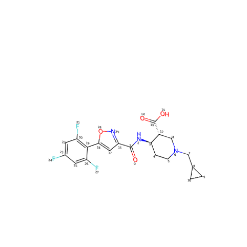 O=C(N[C@@H]1CCN(CC2CC2)C[C@H]1C(=O)O)c1cc(-c2c(F)cc(F)cc2F)on1